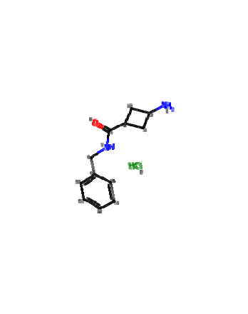 Cl.NC1CC(C(=O)NCc2ccccc2)C1